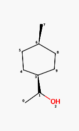 CC(O)[C@H]1CC[C@@H](C)CC1